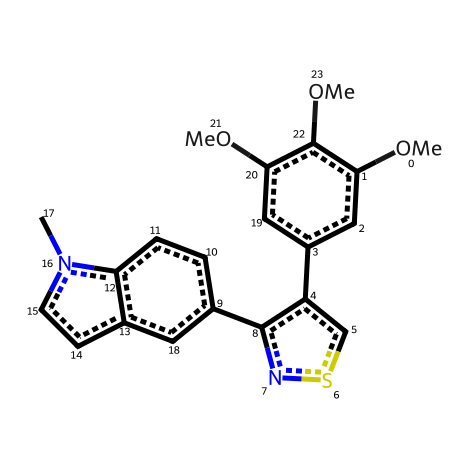 COc1cc(-c2csnc2-c2ccc3c(ccn3C)c2)cc(OC)c1OC